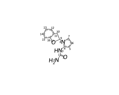 NC(=O)Nc1cccn1C1Cc2ccccc2O1